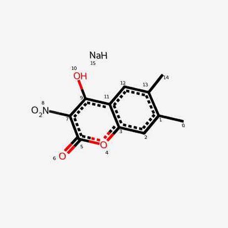 Cc1cc2oc(=O)c([N+](=O)[O-])c(O)c2cc1C.[NaH]